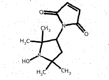 CC1(C)CC(N2C(=O)C=CC2=O)C(C)(C)N1O